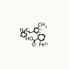 C=Cc1c[cH-]c(C)c1.O=C(O)c1ccccc1.[Fe+2].c1cc[cH-]c1